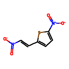 O=[N+]([O-])C=Cc1ccc([N+](=O)[O-])s1